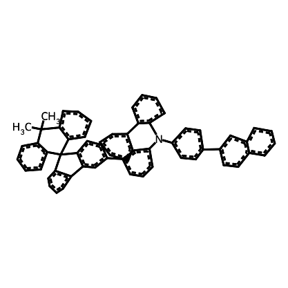 CC1(C)c2ccccc2C2(c3ccccc3-c3cc(-c4cccc(N(c5ccc(-c6ccc7ccccc7c6)cc5)c5ccccc5-c5ccccc5)c4)ccc32)c2ccccc21